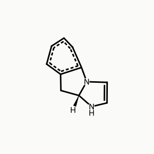 C1=CN2c3ccccc3C[C@H]2N1